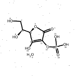 O.O=C1O[C@H]([C@@H](O)CO)C(O)=C1OP(=O)(O)O